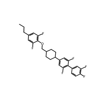 CCCc1cc(F)c(OCC2CCC(c3cc(F)c(-c4ccc(F)c(F)c4)c(F)c3)CC2)c(F)c1